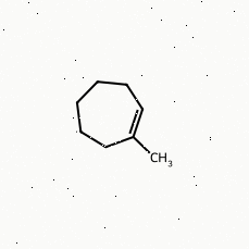 CC1=CCCC[CH]C1